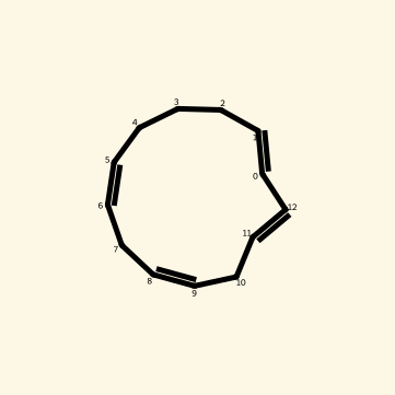 [C]1=C/CCC/C=C\C/C=C\C/C=C/1